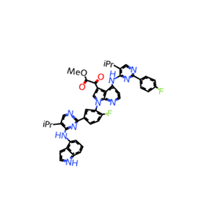 COC(=O)C(=O)c1cn(-c2cc(-c3ncc(C(C)C)c(Nc4cccc5[nH]ccc45)n3)ccc2F)c2nccc(Nc3nc(-c4ccc(F)cc4)ncc3C(C)C)c12